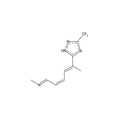 C/N=C/C=C\C=C(/C)c1nc(C(F)(F)F)n[nH]1